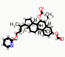 CC[C@H]1[C@@H](OC=O)[C@@H]2[C@H](CC[C@]3(C)[C@@H]([C@H](C)CCOc4ccccn4)CC[C@@H]23)[C@@]2(C)CC[C@@H](OC=O)C[C@@H]12